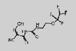 N#CC(=NO)C(=O)NC(=O)NCCOC(F)(F)C(F)F